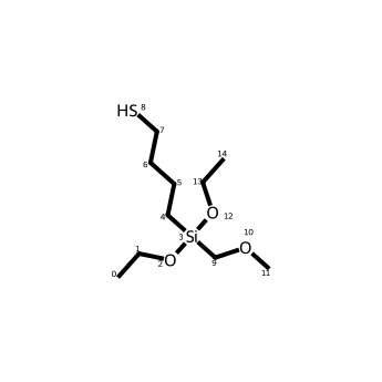 CCO[Si](CCCCS)(COC)OCC